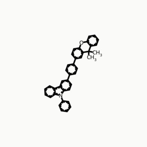 CC1(C)c2ccccc2Oc2ccc(-c3ccc(-c4ccc5c(c4)c4ccccc4n5-c4ccccc4)cc3)cc21